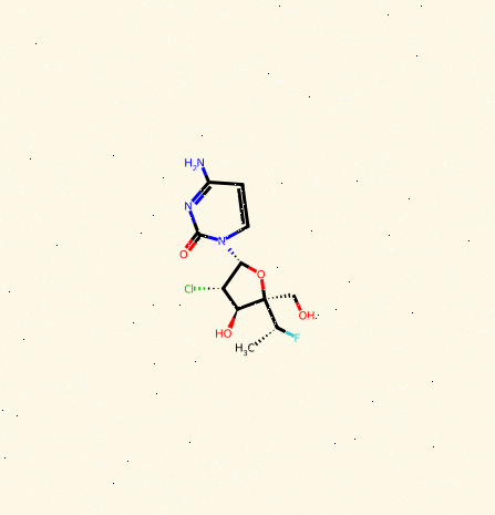 C[C@@H](F)[C@]1(CO)O[C@@H](n2ccc(N)nc2=O)[C@@H](Cl)[C@@H]1O